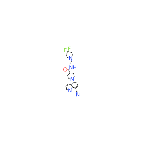 N#Cc1ccc(N2CCC(C(=O)NCCN3CCC(F)(F)CC3)CC2)c2cccnc12